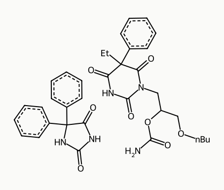 CCCCOCC(CN1C(=O)NC(=O)C(CC)(c2ccccc2)C1=O)OC(N)=O.O=C1NC(=O)C(c2ccccc2)(c2ccccc2)N1